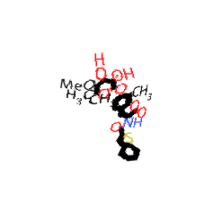 CO[C@@H]1[C@@H](O)[C@H](O)[C@H](Oc2ccc3cc(NC(=O)c4cc5ccccc5s4)c(=O)oc3c2C)OC1(C)C